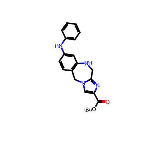 CC(C)COC(=O)c1cn2c(n1)CNc1cc(Nc3ccccc3)ccc1C2